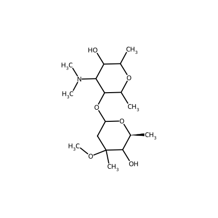 COC1(C)CC(OC2C(C)OC(C)C(O)C2N(C)C)O[C@@H](C)C1O